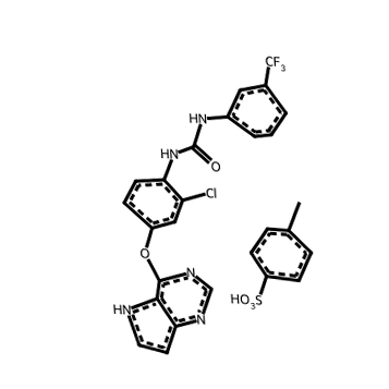 Cc1ccc(S(=O)(=O)O)cc1.O=C(Nc1cccc(C(F)(F)F)c1)Nc1ccc(Oc2ncnc3cc[nH]c23)cc1Cl